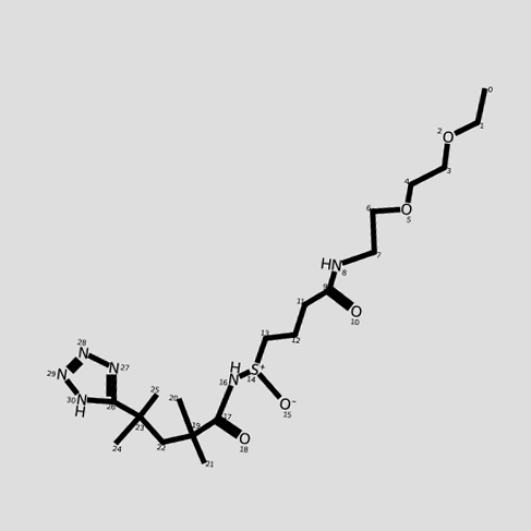 CCOCCOCCNC(=O)CCC[S+]([O-])NC(=O)C(C)(C)CC(C)(C)c1nnn[nH]1